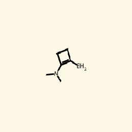 BC1=C(N(C)C)CC1